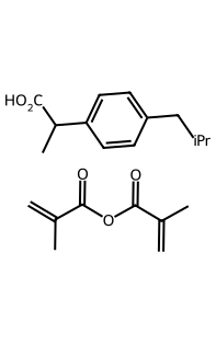 C=C(C)C(=O)OC(=O)C(=C)C.CC(C)Cc1ccc(C(C)C(=O)O)cc1